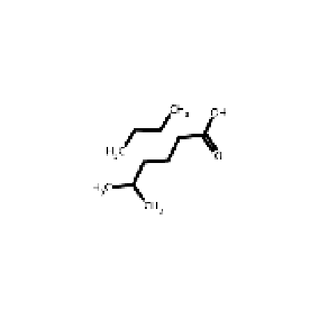 CC(C)CCCC(=O)O.CCCC